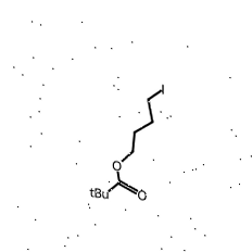 CC(C)(C)C(=O)OCCCCI